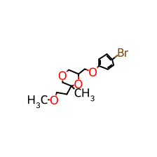 COCCC1(C)COCC(COc2ccc(Br)cc2)O1